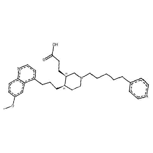 COc1ccc2nccc(CCC[C@@H]3CCN(CCCCCc4ccncc4)C[C@@H]3CCC(=O)O)c2c1